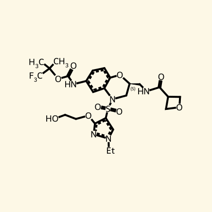 CCn1cc(S(=O)(=O)N2C[C@H](CNC(=O)C3COC3)Oc3ccc(NC(=O)OC(C)(C)C(F)(F)F)cc32)c(OCCO)n1